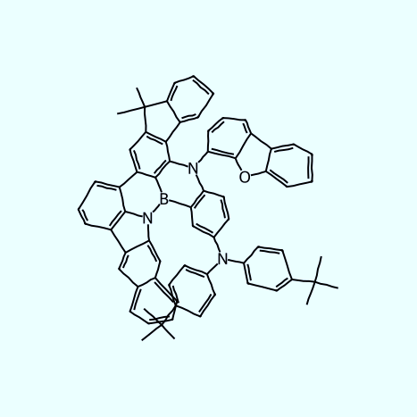 CC(C)(C)c1ccc(N(c2ccc(C(C)(C)C)cc2)c2ccc3c(c2)B2c4c(cc5c(c4N3c3cccc4c3oc3ccccc34)-c3ccccc3C5(C)C)-c3cccc4c5cc6ccccc6cc5n2c34)cc1